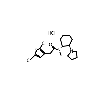 CN(C(=O)Cc1cc(Cl)sc1Cl)[C@@H]1CCCC[C@H]1N1CCCC1.Cl